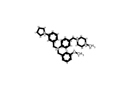 COc1cccc(CN(Cc2cccc(N3CCCC3)c2)c2ccc(CN3CCN(C)CC3)cc2)c1